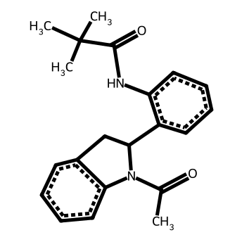 CC(=O)N1c2ccccc2CC1c1ccccc1NC(=O)C(C)(C)C